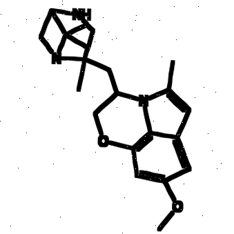 COc1cc2c3c(c1)cc(C)n3C(CC1(C)CNC3CN1C3(C)C)CO2